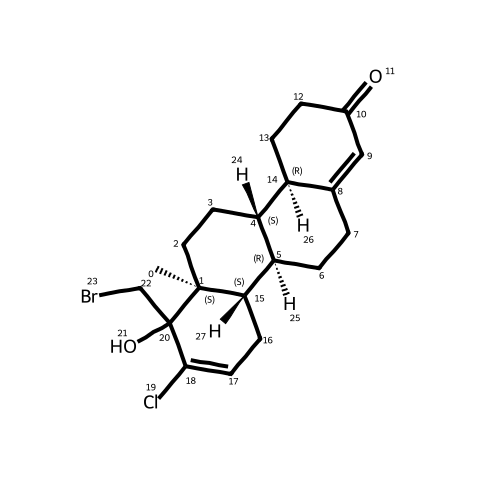 C[C@]12CC[C@H]3[C@@H](CCC4=CC(=O)CC[C@@H]43)[C@@H]1CC=C(Cl)C2(O)CBr